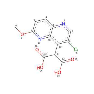 COc1ccc2ncc(Cl)c(C(C(=O)O)C(=O)O)c2n1